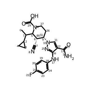 CC(C1CC1)C1[C@@H](C#N)[C@@H](n2cc(C(N)=O)c(Nc3ccc(F)cc3)n2)CCN1C(=O)O